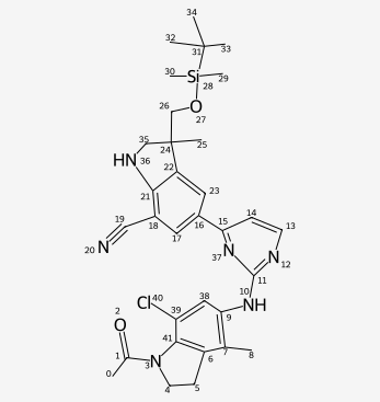 CC(=O)N1CCc2c(C)c(Nc3nccc(-c4cc(C#N)c5c(c4)C(C)(CO[Si](C)(C)C(C)(C)C)CN5)n3)cc(Cl)c21